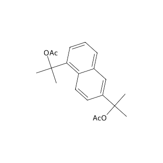 CC(=O)OC(C)(C)c1ccc2c(C(C)(C)OC(C)=O)cccc2c1